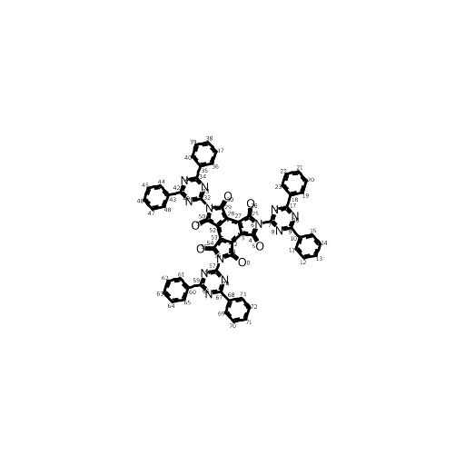 O=c1c2c3c(=O)n(-c4nc(-c5ccccc5)nc(-c5ccccc5)n4)c(=O)c3c3c(=O)n(-c4nc(-c5ccccc5)nc(-c5ccccc5)n4)c(=O)c3c2c(=O)n1-c1nc(-c2ccccc2)nc(-c2ccccc2)n1